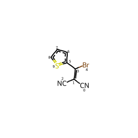 N#CC(C#N)=C(Br)c1cccs1